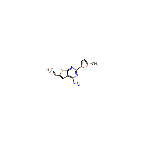 C=Cc1cc2c(N)nc(-c3ccc(C)o3)nc2s1